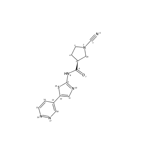 N#CN1CC[C@H](C(=O)Nc2ncc(-c3ccnnc3)s2)C1